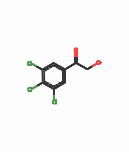 [O]CC(=O)c1cc(Cl)c(Cl)c(Cl)c1